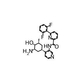 C[C@H]1C[C@@H](c2ccncc2NC(=O)c2cccc(-c3c(F)cccc3F)n2)C[C@@H](N)[C@H]1O